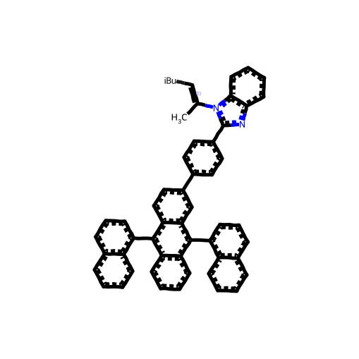 CCC(C)/C=C(\C)n1c(-c2ccc(-c3ccc4c(-c5cccc6ccccc56)c5ccccc5c(-c5cccc6ccccc56)c4c3)cc2)nc2ccccc21